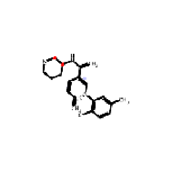 C=C/C=C\C(=C/N(C)c1cc(C)ccc1Cl)C(=C)NC1CN2CCC1CC2